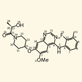 COc1cc2c(Nc3cccc(C)c3F)ncnc2cc1OC1CCN(C(=O)[C@@H](C)O)CC1